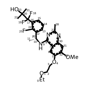 CCOCCOc1cc2c(N[C@H](C)c3cccc(C(F)(F)C(C)(C)O)c3F)nc(C)nc2cc1OC